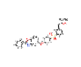 COC(=O)Cc1cccc(S(=O)(=O)c2ccc(OCCc3nc(-c4ccccc4)oc3C)cc2)c1